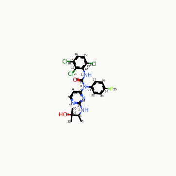 CC(Nc1nccc(N(C(=O)Nc2c(Cl)ccc(Cl)c2Cl)c2ccc(F)cc2)n1)C(C)(C)O